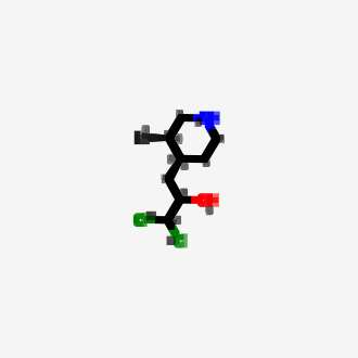 CC[C@H]1CNCC[C@H]1CC(O)C(Cl)Cl